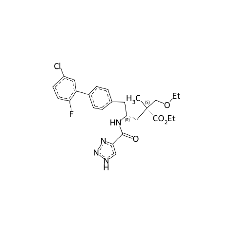 CCOC[C@](C)(C[C@@H](Cc1ccc(-c2cc(Cl)ccc2F)cc1)NC(=O)c1c[nH]nn1)C(=O)OCC